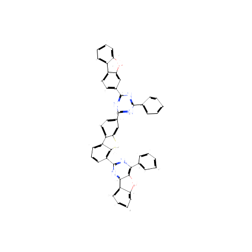 c1ccc(-c2nc(-c3ccc4c(c3)oc3ccccc34)nc(-c3ccc4c(c3)sc3c(-c5nc(-c6ccccc6)c6oc7ccccc7c6n5)cccc34)n2)cc1